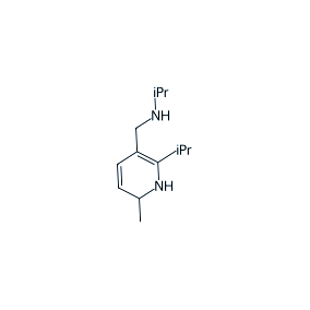 CC(C)NCC1=C(C(C)C)NC(C)C=C1